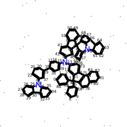 c1ccc(C2(c3ccccc3)c3cc(N(c4ccc(-c5cccc(-n6c7ccccc7c7ccccc76)c5)cc4)c4ccc5c(c4)C4(c6ccccc6-5)c5ccccc5-n5c6ccccc6c6cccc4c65)ccc3-c3c2ccc2ccccc32)cc1